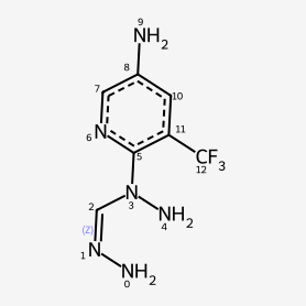 N/N=C\N(N)c1ncc(N)cc1C(F)(F)F